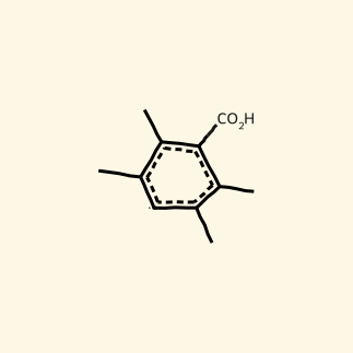 Cc1[c]c(C)c(C)c(C(=O)O)c1C